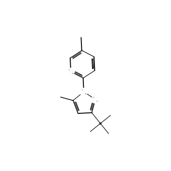 Cc1ccc(-n2nc(C(C)(C)C)cc2C)nc1